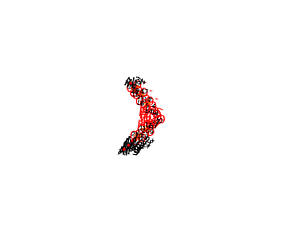 O.O.O.O.O=P([O-])([O-])[O-].O=P([O-])([O-])[O-].O=P([O-])([O-])[O-].O=P([O-])([O-])[O-].O=P([O-])([O-])[O-].[Al+3].[Al+3].[Al+3].[Al+3].[Mg+2].[Mg+2].[Mg+2].[Mg+2].[OH-].[OH-].[OH-].[OH-].[OH-]